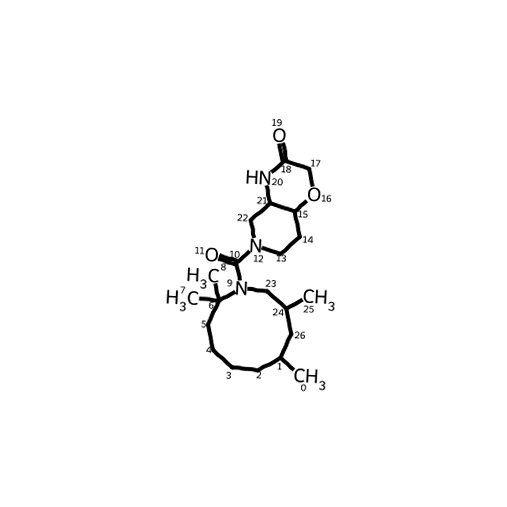 CC1CCCCC(C)(C)N(C(=O)N2CCC3OCC(=O)NC3C2)CC(C)C1